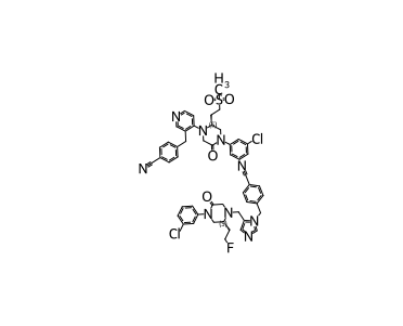 CS(=O)(=O)CC[C@H]1CN(c2cccc(Cl)c2)C(=O)CN1c1ccncc1Cc1ccc(C#N)cc1.N#Cc1ccc(Cn2cncc2CN2CC(=O)N(c3cccc(Cl)c3)C[C@@H]2CCF)cc1